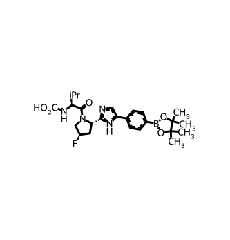 CC(C)[C@H](NC(=O)O)C(=O)N1C[C@H](F)C[C@H]1c1ncc(-c2ccc(B3OC(C)(C)C(C)(C)O3)cc2)[nH]1